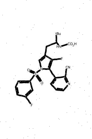 CC(C)(C)C(Cc1cn(S(=O)(=O)c2cccc(F)c2)c(-c2cccnc2C#N)c1F)NC(=O)O